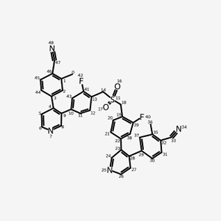 Cc1cc(-c2ccncc2-c2ccc(CS(=O)(=O)Cc3ccc(-c4cnccc4-c4ccc(C#N)c(C)c4)cc3F)c(F)c2)ccc1C#N